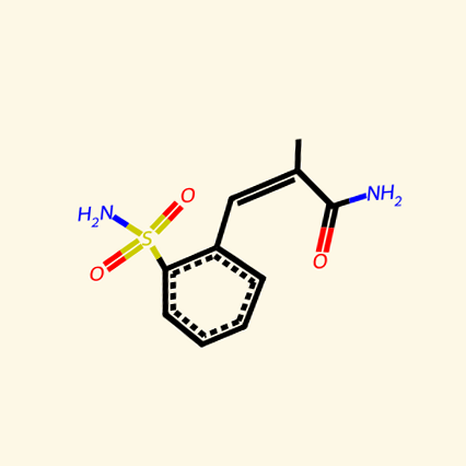 CC(=Cc1ccccc1S(N)(=O)=O)C(N)=O